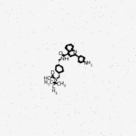 CC(C)(C)N(C[C@H]1CC[C@H](CNC(=O)c2cc(-c3ccc(N)cc3)nc3ccccc23)CC1)C(=O)O